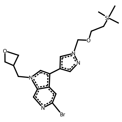 C[Si](C)(C)CCOCn1cc(-c2cn(CC3COC3)c3cnc(Br)cc23)cn1